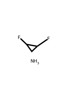 FC1CC1F.N